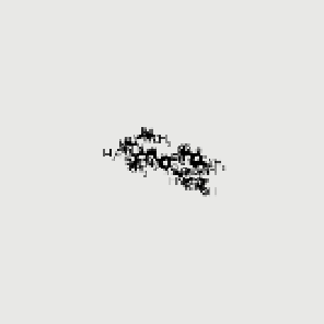 Cc1nnc(C[C@@H]2N=C(c3ccc(-c4ccc(OCC(=O)N[C@H](C(=O)N5C[C@H](O)C[C@H]5C(=O)N[C@@H](C)c5ccc(-c6scnc6C)cc5)C(C)(C)C)c(C#N)c4)cc3)c3c(sc(C)c3C)-n3c(C)nnc32)o1